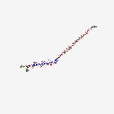 CC(C)(C)CCOCCOCCOCCOCCOCCOCCOCCOCCOCCOCCOCCn1cc(COC(=O)NCCNC(=O)CNC(=O)CNC(=O)CNC(=O)CON=C(CSC(C)(C)C)CSC(C)(C)C)nn1